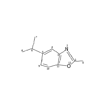 Cc1nc2cc(C(C)C)ccc2o1